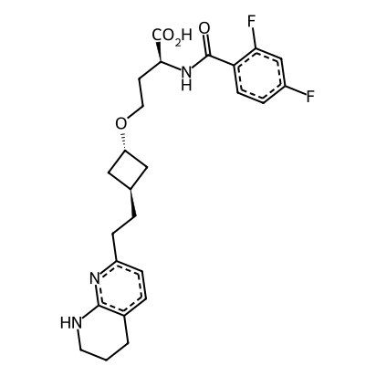 O=C(N[C@@H](CCO[C@H]1C[C@H](CCc2ccc3c(n2)NCCC3)C1)C(=O)O)c1ccc(F)cc1F